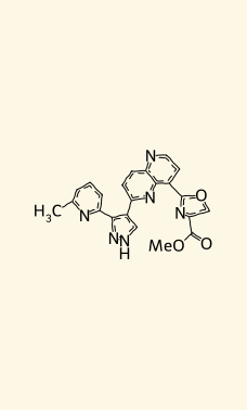 COC(=O)c1coc(-c2ccnc3ccc(-c4c[nH]nc4-c4cccc(C)n4)nc23)n1